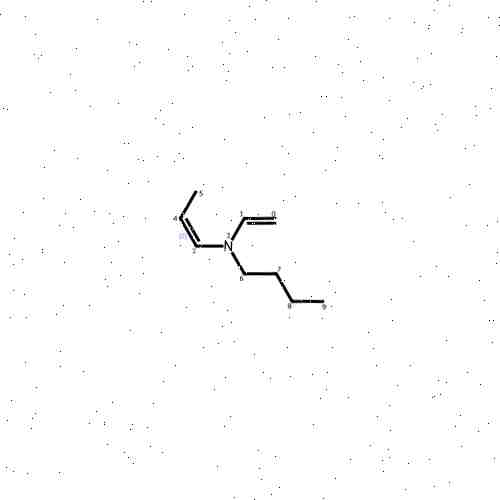 C=CN(/C=C\C)CCCC